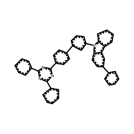 c1ccc(-c2ccc3c(c2)c2ccccc2n3-c2cccc(-c3ccc(-c4nc(-c5ccccc5)nc(-c5ccccc5)n4)cc3)c2)cc1